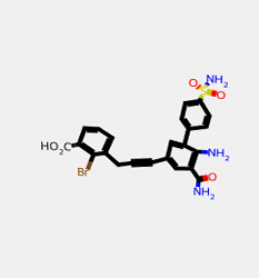 NC(=O)c1cc(C#CCc2cccc(C(=O)O)c2Br)cc(-c2ccc(S(N)(=O)=O)cc2)c1N